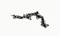 C=CC(=O)OCC1CC2C3CC(COC(=O)CCN(C(C)=O)C4CCC(CC5CCC(N(CCC(=O)OCC6CC7CC6C6CC(COC(=O)C=C)CC76)C(C)=O)C(C)C5)CC4C)C(C3)C2C1